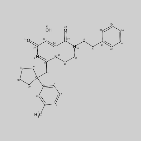 Cc1cccc(C2(Cc3nc(=O)c(O)c4n3CCN(CCc3ccccc3)C4=O)CCCC2)c1